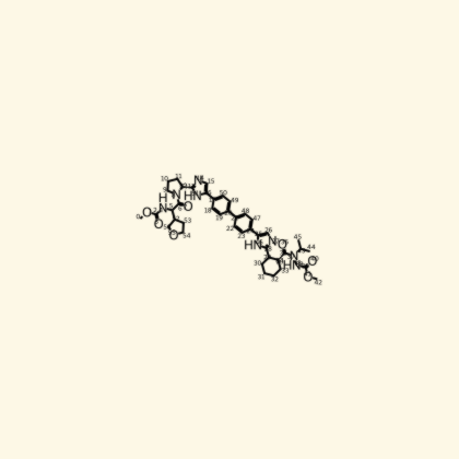 COC(=O)NC(C(=O)N1CCC[C@H]1c1ncc(-c2ccc(-c3ccc(-c4cnc(C5CCCC[C@@H]5C(=O)N(NC(=O)OC)C(C)C)[nH]4)cc3)cc2)[nH]1)C1CCOC1